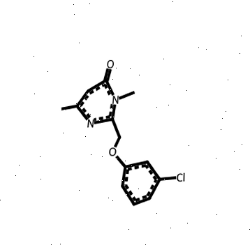 Cc1cc(=O)n(C)c(COc2cccc(Cl)c2)n1